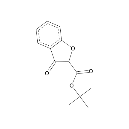 CC(C)(C)OC(=O)C1Oc2ccccc2C1=O